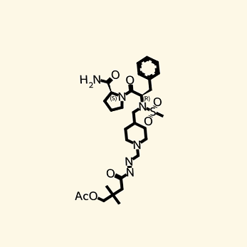 CC(=O)OCC(C)(C)CC(=O)N=NCN1CCC(CN([C@H](Cc2ccccc2)C(=O)N2CCC[C@H]2C(N)=O)S(C)(=O)=O)CC1